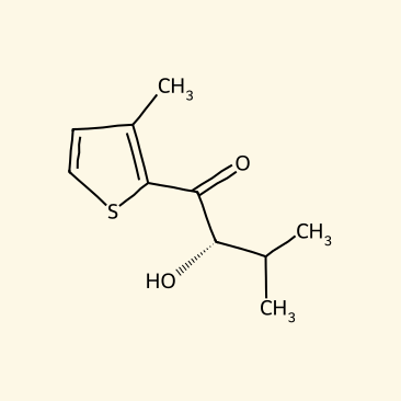 Cc1ccsc1C(=O)[C@@H](O)C(C)C